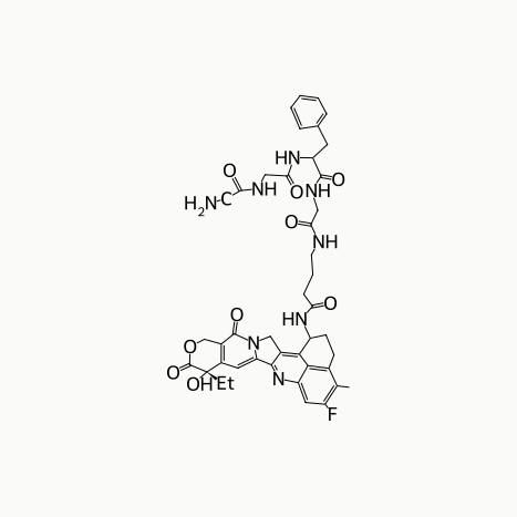 CC[C@@]1(O)C(=O)OCc2c1cc1n(c2=O)Cc2c-1nc1cc(F)c(C)c3c1c2C(NC(=O)CCCNC(=O)CNC(=O)C(Cc1ccccc1)NC(=O)CNC(=O)CN)CC3